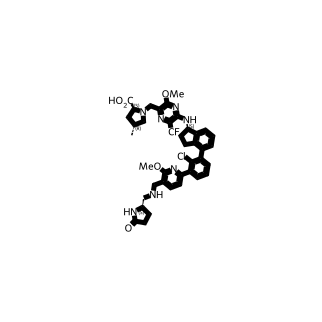 COc1nc(-c2cccc(-c3cccc4c3CC[C@@H]4Nc3nc(OC)c(CN4C[C@H](C)C[C@H]4C(=O)O)nc3C(F)(F)F)c2Cl)ccc1CNC[C@@H]1CCC(=O)N1